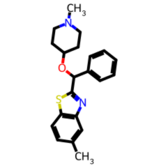 Cc1ccc2sc(C(OC3CCN(C)CC3)c3ccccc3)nc2c1